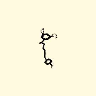 COc1cc(OC)cc(C(C)CCCCc2ccc(F)cc2)c1